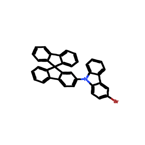 Brc1ccc2c(c1)c1ccccc1n2-c1ccc2c(c1)C1(c3ccccc3-c3ccccc31)c1ccccc1-2